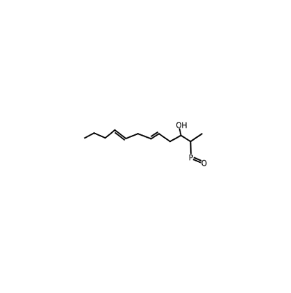 CCC/C=C/C/C=C/CC(O)C(C)P=O